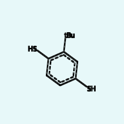 CC(C)(C)c1cc(S)ccc1S